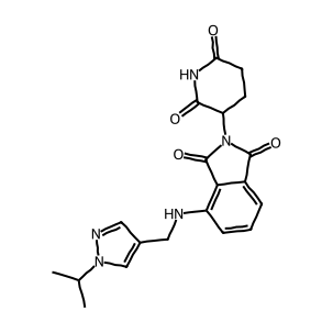 CC(C)n1cc(CNc2cccc3c2C(=O)N(C2CCC(=O)NC2=O)C3=O)cn1